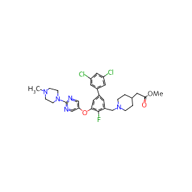 COC(=O)CC1CCN(Cc2cc(-c3cc(Cl)cc(Cl)c3)cc(Oc3cnc(N4CCN(C)CC4)nc3)c2F)CC1